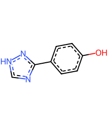 Oc1ccc(-c2nc[nH]n2)cc1